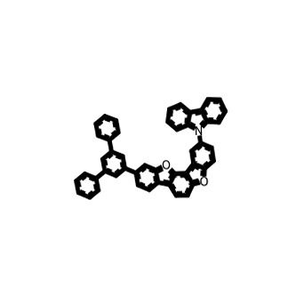 c1ccc(-c2cc(-c3ccccc3)cc(-c3ccc4c(c3)oc3c4ccc4oc5ccc(-n6c7ccccc7c7ccccc76)cc5c43)c2)cc1